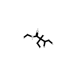 CCOC(=O)C(C)(CC)C(C)CC